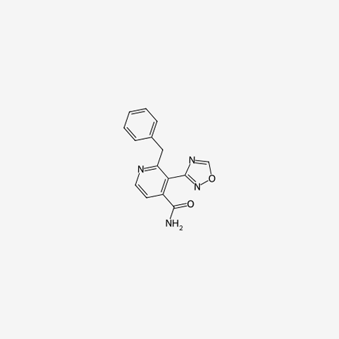 NC(=O)c1ccnc(Cc2ccccc2)c1-c1ncon1